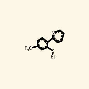 CCSc1cc(C(F)(F)F)ccc1-c1ccccn1